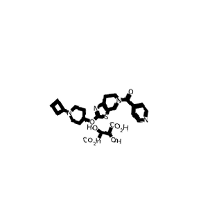 O=C(O)C(O)C(O)C(=O)O.O=C(c1ccncc1)N1CCc2nc(OC3CCN(C4CCC4)CC3)sc2C1